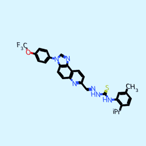 Cc1ccc(C(C)C)c(NC(=S)N/N=C/c2ccc3c(ccc4c3ncn4-c3ccc(OC(F)(F)F)cc3)n2)c1